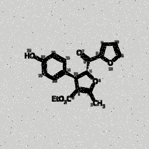 CCOC(=O)C1=C(C)O[C@@H](C(=O)c2ccco2)[C@@H]1c1ccc(O)cc1